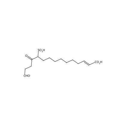 O=[C]CCC(=O)C(CCCCCCCC=CC(=O)O)S(=O)(=O)O